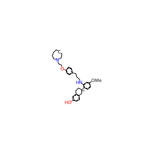 COc1ccc([C@@H]2CCc3cc(O)ccc3C2)c(NCCCc2ccc(OCCN3CCCCCCC3)cc2)c1